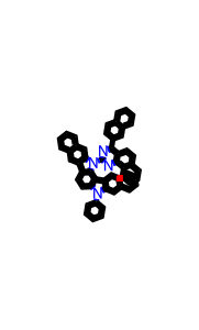 c1ccc(-n2c3cc4ccccc4cc3c3c2ccc2c4cc5ccccc5cc4n(-c4nc(-c5ccc6ccccc6c5)c5ccc6ccccc6c5n4)c23)cc1